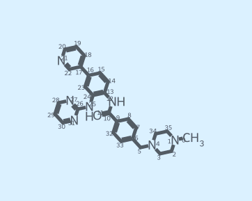 CN1CCN(Cc2ccc(C(=O)Nc3ccc(-c4cccnc4)cc3Nc3ncccn3)cc2)CC1